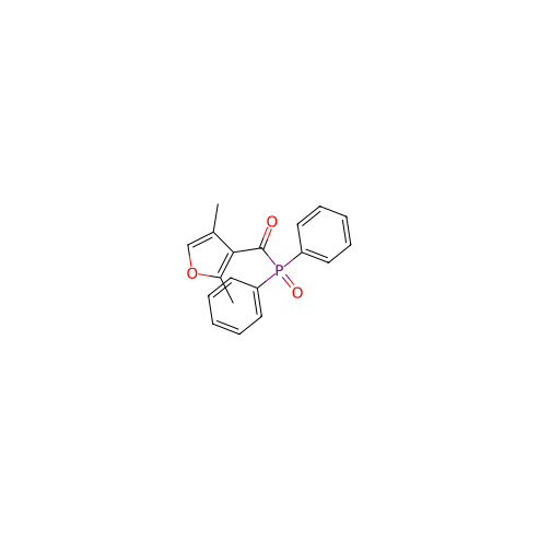 Cc1coc(C)c1C(=O)P(=O)(c1ccccc1)c1ccccc1